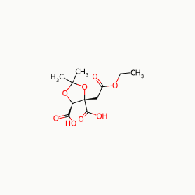 CCOC(=O)C[C@]1(C(=O)O)OC(C)(C)O[C@@H]1C(=O)O